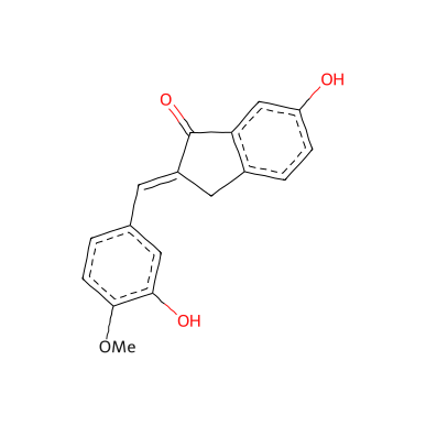 COc1ccc(/C=C2\Cc3ccc(O)cc3C2=O)cc1O